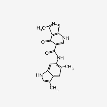 Cc1cc2c(C)c[nH]c2cc1NC(=O)c1c[nH]c2snc(C)c2c1=O